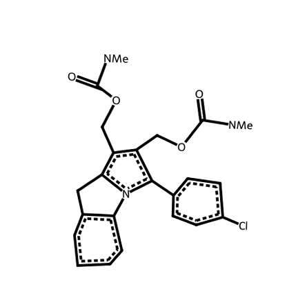 CNC(=O)OCc1c(COC(=O)NC)c(-c2ccc(Cl)cc2)n2c1Cc1ccccc1-2